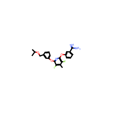 Cc1c(F)c(Oc2cccc(COC(C)C)c2)nc(Oc2cccc(C(=N)N)c2)c1F